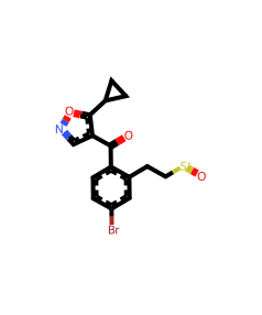 O=[S+]CCc1cc(Br)ccc1C(=O)c1cnoc1C1CC1